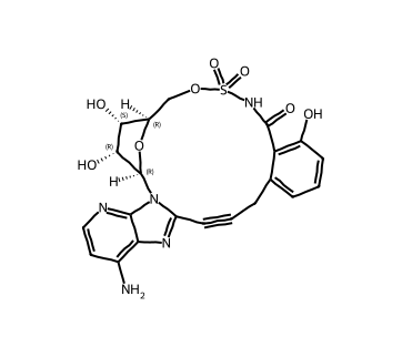 Nc1ccnc2c1nc1n2[C@@H]2O[C@H](COS(=O)(=O)NC(=O)c3c(O)cccc3CC#C1)[C@@H](O)[C@H]2O